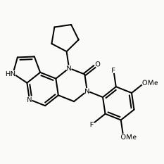 COc1cc(OC)c(F)c(N2Cc3cnc4[nH]ccc4c3N(C3CCCC3)C2=O)c1F